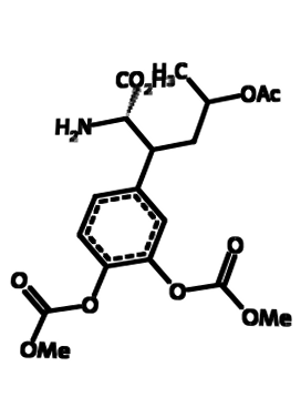 COC(=O)Oc1ccc(C(CC(C)OC(C)=O)[C@H](N)C(=O)O)cc1OC(=O)OC